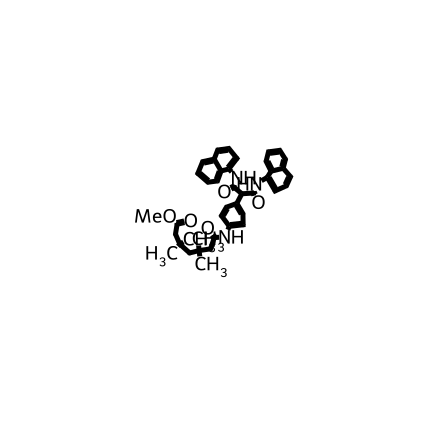 COC(=O)CC(C)(C)CC(C)(C)CC(=O)Nc1ccc(C(C(=O)Nc2cccc3ccccc23)C(=O)Nc2cccc3ccccc23)cc1